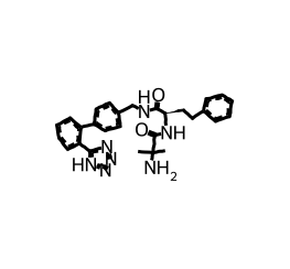 CC(C)(N)C(=O)N[C@H](CCc1ccccc1)C(=O)NCc1ccc(-c2ccccc2-c2nnn[nH]2)cc1